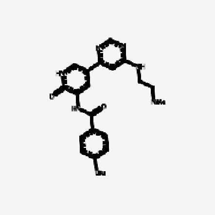 CNCCNc1cc(-c2c[nH]c(=O)c(NC(=O)c3ccc(C(C)(C)C)cc3)c2)ncn1